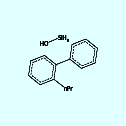 CCCc1ccccc1-c1ccccc1.O[SiH3]